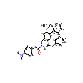 CN(C)c1ccc(CC(=O)N(CCCc2ccccc2)Cc2ccc(-c3ccccc3C(=O)O)cc2)cc1